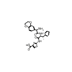 COC(=O)c1csc(NC(=O)[C@@H](NC(=O)C(N)c2ccc3c(c2)OCCO3)[C@@H](C)c2ccccc2)n1